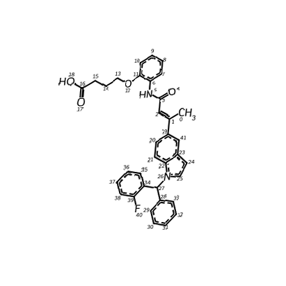 CC(=CC(=O)Nc1ccccc1OCCCC(=O)O)c1ccc2c(ccn2C(c2ccccc2)c2ccccc2F)c1